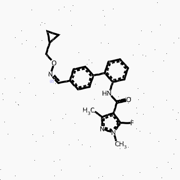 Cc1nn(C)c(F)c1C(=O)Nc1ccccc1-c1ccc(/C=N\OCC2CC2)cc1